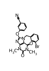 Cn1c(=O)c2c(nc(Oc3cccc(C#N)c3)n2Cc2cccc(Br)c2)n(C)c1=O